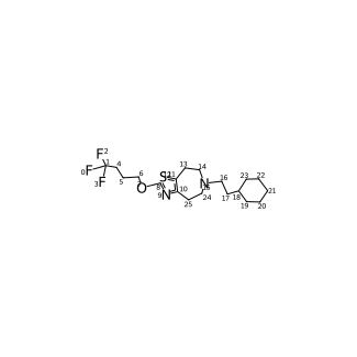 FC(F)(F)CCCOc1nc2c(s1)CCN(CCC1CCCCC1)CC2